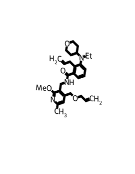 C=CCOCc1cc(C)nc(OC)c1CNC(=O)c1cccc(N(CC)C2CCOCC2)c1CC=C